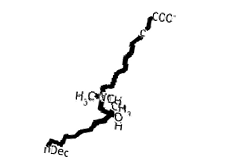 CCCCCCCCCCCCCCCCCCC(C)(O)C[N+](C)(C)CCCCCCCCCCCC(=O)[O-]